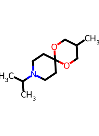 CC1COC2(CCN(C(C)C)CC2)OC1